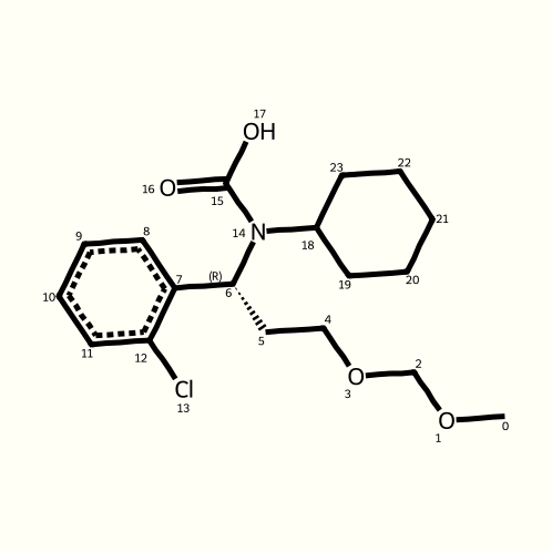 COCOCC[C@H](c1ccccc1Cl)N(C(=O)O)C1CCCCC1